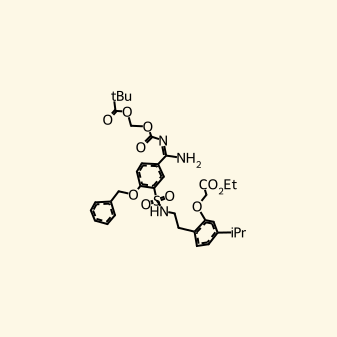 CCOC(=O)COc1cc(C(C)C)ccc1CCNS(=O)(=O)c1cc(/C(N)=N\C(=O)OCOC(=O)C(C)(C)C)ccc1OCc1ccccc1